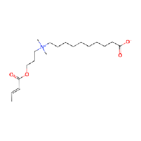 CC=CC(=O)OCCC[N+](C)(C)CCCCCCCCCC(=O)[O-]